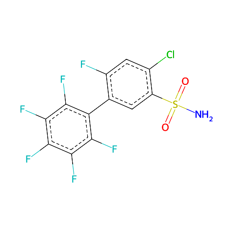 NS(=O)(=O)c1cc(-c2c(F)c(F)c(F)c(F)c2F)c(F)cc1Cl